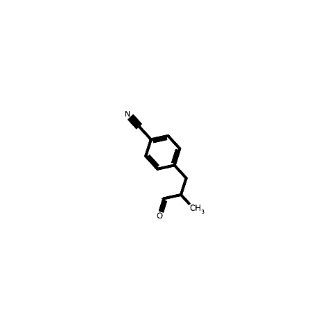 CC([C]=O)Cc1ccc(C#N)cc1